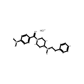 CN(C)c1ccc(C(=O)N2CCC(N(C)CCc3ccccc3)CC2)cc1.Cl